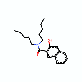 CCCCCN(CCCCC)C(=O)c1cc2ccccc2cc1O